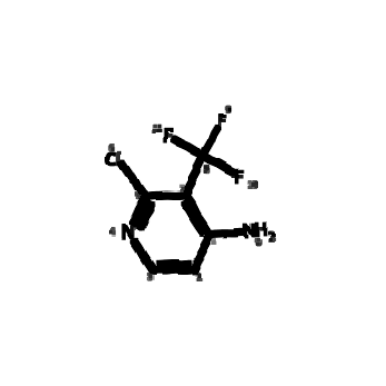 Nc1ccnc(Cl)c1C(F)(F)F